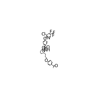 CC(=O)c1ccc(OCCCC2CCCN2NS(=O)(=O)c2ccc(Oc3ncc(C(F)(F)F)cc3Cl)cc2)cc1